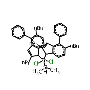 CCCCc1ccc2c(c1-c1ccccc1)C=C(CCC)[CH]2[Zr]([Cl])([Cl])([CH]1C(CCC)=Cc2c1ccc(CCCC)c2-c1ccccc1)[SiH](C)C